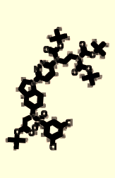 CC(C)(C)OC(=O)CN(c1ccc2c(c1)CCN2c1ccc(N(CCN(C(=O)OC(C)(C)C)C(=O)OC(C)(C)C)C(=O)OC(C)(C)C)nn1)S(=O)(=O)c1cc(Cl)cc(Cl)c1